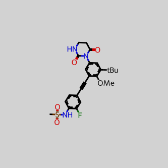 COc1c(C#Cc2ccc(NS(C)(=O)=O)c(F)c2)cc(N2C(=O)CCNC2=O)cc1C(C)(C)C